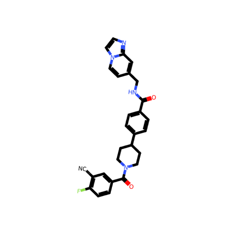 N#Cc1cc(C(=O)N2CCC(c3ccc(C(=O)NCc4ccn5ccnc5c4)cc3)CC2)ccc1F